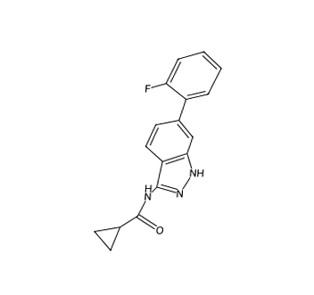 O=C(Nc1n[nH]c2cc(-c3ccccc3F)ccc12)C1CC1